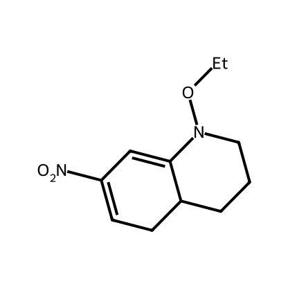 CCON1CCCC2CC=C([N+](=O)[O-])C=C21